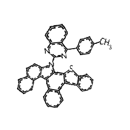 Cc1ccc(-c2nc(-n3c4ccc5ccccc5c4c4c5ccccc5c5c6ccccc6sc5c43)nc3ccccc23)cc1